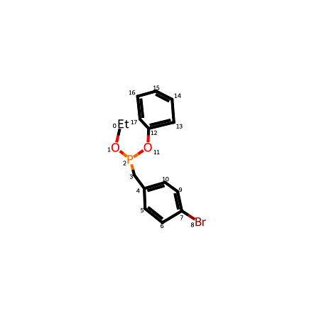 CCOP(Cc1ccc(Br)cc1)Oc1ccccc1